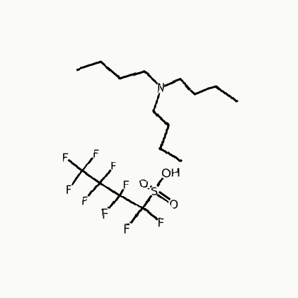 CCCCN(CCCC)CCCC.O=S(=O)(O)C(F)(F)C(F)(F)C(F)(F)C(F)(F)F